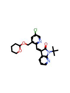 CC(C)(C)N1C(=O)C(=Cc2ncc(Cl)cc2COC2CCCCO2)c2cccnc21